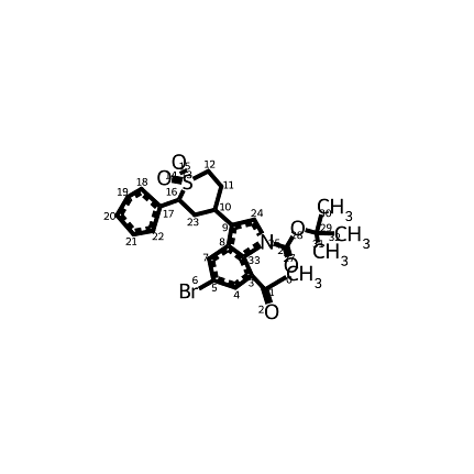 CC(=O)c1cc(Br)cc2c(C3CCS(=O)(=O)C(c4ccccc4)C3)cn(C(=O)OC(C)(C)C)c12